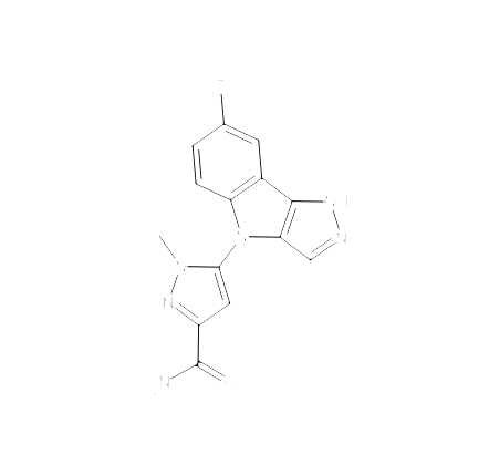 Cn1nc(C(N)=O)cc1-n1c2ccc(F)cc2c2[nH]ncc21